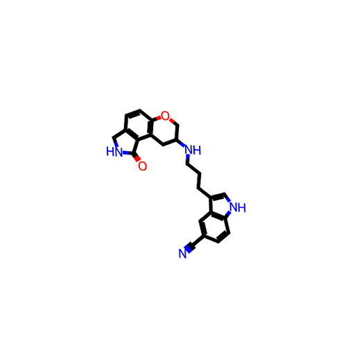 N#Cc1ccc2[nH]cc(CCCNC3COc4ccc5c(c4C3)C(=O)NC5)c2c1